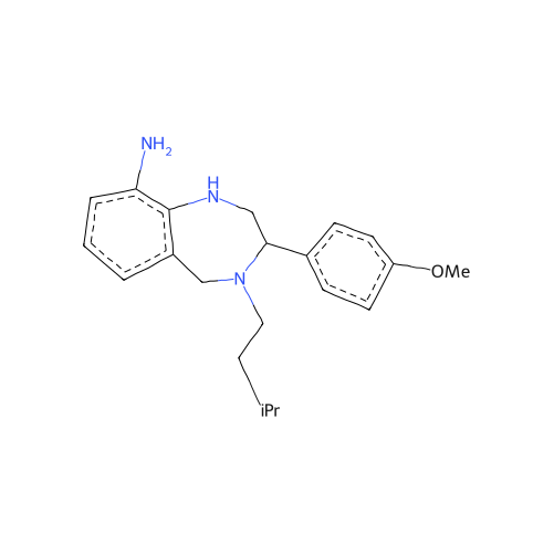 COc1ccc(C2CNc3c(N)cccc3CN2CCC(C)C)cc1